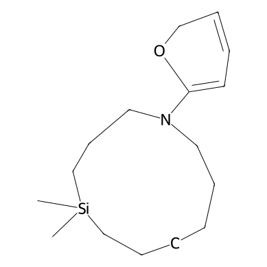 C[Si]1(C)CCCCCCN(C2=CC=CCO2)CCC1